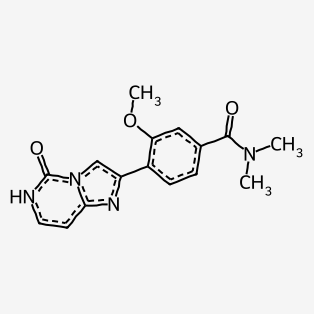 COc1cc(C(=O)N(C)C)ccc1-c1cn2c(=O)[nH]ccc2n1